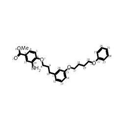 COC(=O)c1ccc(OCCCc2cccc(OCCCCOc3ccccc3)c2)c(N)c1